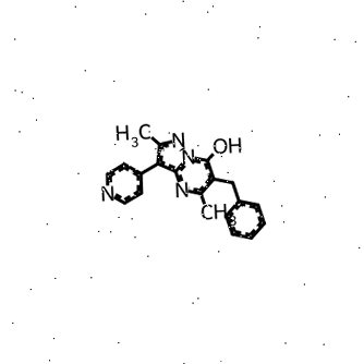 Cc1nc2c(-c3ccncc3)c(C)nn2c(O)c1Cc1ccccc1